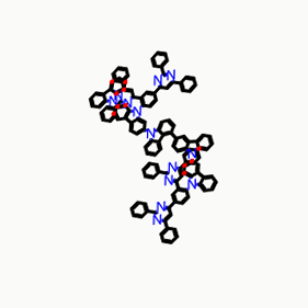 c1ccc(-c2cc(-c3ccc(-n4c5ccccc5c5cc(-n6c7ccccc7c7cc(-c8cccc9c8c8ccccc8n9-c8ccc9c%10ccc(-n%11c%12ccccc%12c%12ccccc%12%11)cc%10n(-c%10ccc(-c%11cc(-c%12ccccc%12)nc(-c%12ccccc%12)n%11)cc%10-c%10cc(-c%11ccccc%11)nc(-c%11ccccc%11)n%10)c9c8)ccc76)ccc54)c(-c4cc(-c5ccccc5)nc(-c5ccccc5)n4)c3)nc(-c3ccccc3)n2)cc1